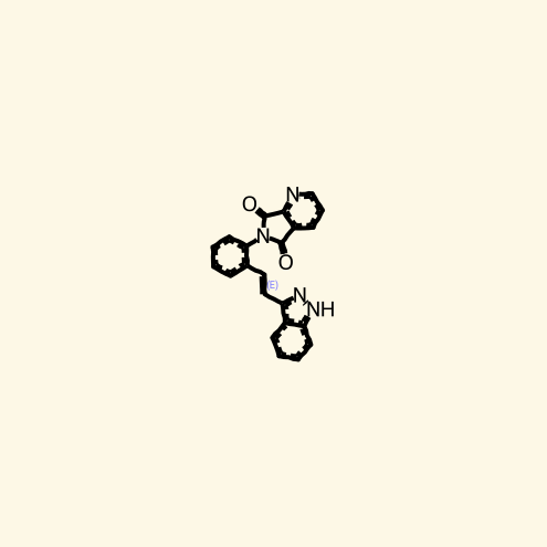 O=C1c2cccnc2C(=O)N1c1ccccc1/C=C/c1n[nH]c2ccccc12